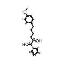 COc1ccc(CCCCC(O)C(O)n2ccnc2)cc1